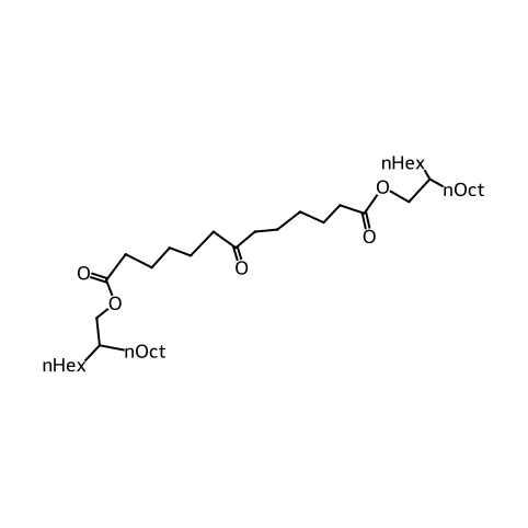 CCCCCCCCC(CCCCCC)COC(=O)CCCCCC(=O)CCCCCC(=O)OCC(CCCCCC)CCCCCCCC